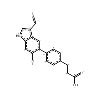 O=Cc1c[nH]c2cc(Cl)c(-c3ccc(CCC(=O)O)cc3)cc12